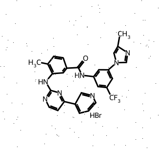 Br.Cc1cn(-c2cc(NC(=O)c3ccc(C)c(Nc4nccc(-c5cccnc5)n4)c3)cc(C(F)(F)F)c2)cn1